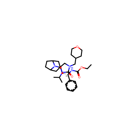 CCOC(=O)N[C@@H](CCN1C2CCC1CC1(C2)CN(CC2CCOCC2)C(=O)N1C(C)C)c1ccccc1